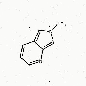 Cn1cc2cccnc2c1